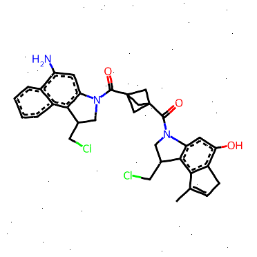 CC1=CCc2c(O)cc3c(c21)C(CCl)CN3C(=O)C12CC(C(=O)N3CC(CCl)c4c3cc(N)c3ccccc43)(C1)C2